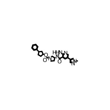 Cn1cc(-c2cnc(N)c(C(=O)N[C@@H]3CCN(C(=O)OC4CCC(c5ccccc5)C4)C3)c2)cn1